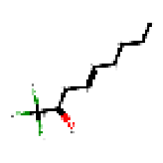 CCCCC=CCC(=O)C(F)(F)F